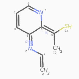 C=C/N=C1/C=CC=N/C1=C(/C)S